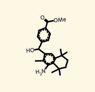 COC(=O)c1ccc(C(O)c2cc3c(c(N)c2C)C(C)(C)CCC3(C)C)cc1